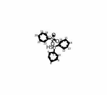 O=S(=O)([O][SnH]([c]1ccccc1)[c]1ccccc1)c1ccccc1